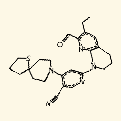 CCc1cc2c(nc1C=O)N(c1cc(N3CCC4(CCCS4)CC3)c(C#N)cn1)CCC2